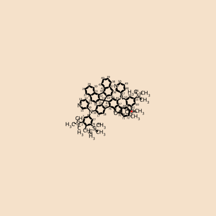 Cc1c([Si](C)(C)C)cc(N(c2cccnc2)c2ccc3c(c2)C2(c4ccc5ccccc5c4-c4c2ccc2ccccc42)c2cc(N(c4cccnc4)c4cc([Si](C)(C)C)cc([Si](C)(C)C)c4)c4c(oc5ccccc54)c2-3)cc1[Si](C)(C)C